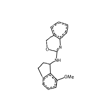 COc1cccc2c1C(NC1=Nc3ccccc3CO1)CC2